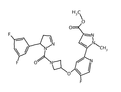 COC(=O)c1cc(-c2cc(OC3CN(C(=O)N4N=CCC4c4cc(F)cc(F)c4)C3)c(F)cn2)n(C)n1